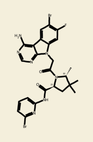 C[C@H]1N(C(=O)Cn2c3cc(F)c(Br)cc3c3c(N)ncnc32)[C@H](C(=O)Nc2cccc(Br)n2)CC1(C)C